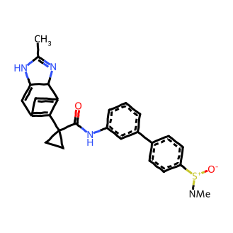 CN[S+]([O-])c1ccc(-c2cccc(NC(=O)C3(C4=C5C=C6NC(C)=NC6C4=C5)CC3)c2)cc1